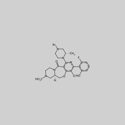 CC(=O)N1CCN(c2nc(-c3c(O)cccc3F)c(Cl)c3c2C(=O)N2CCN(C(=O)O)C[C@@H]2CO3)[C@@H](C)C1